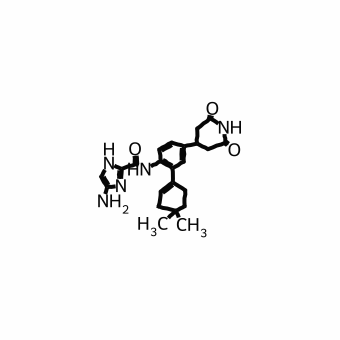 CC1(C)CC=C(c2cc(C3CC(=O)NC(=O)C3)ccc2NC(=O)c2nc(N)c[nH]2)CC1